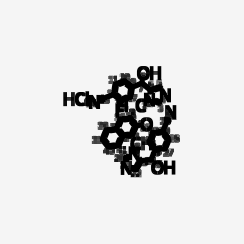 Cl.Cn1cncc1C(O)c1ccc(C#N)c(F)c1.Cn1cncc1C(O)c1ccc(C#N)c(Oc2ccc3ccccc3c2)c1